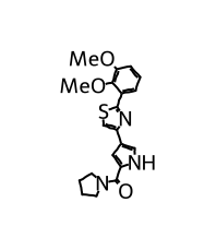 COc1cccc(-c2nc(-c3c[nH]c(C(=O)N4CCCC4)c3)cs2)c1OC